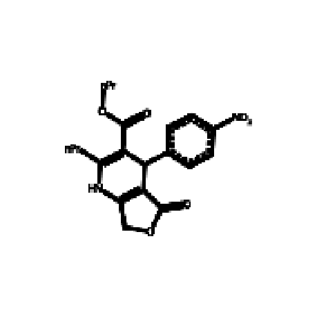 CCCOC(=O)C1=C(CCC)NC2=C(C(=O)OC2)C1c1ccc([N+](=O)[O-])cc1